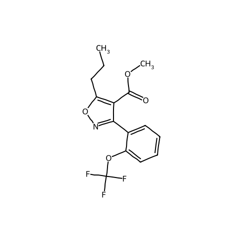 CCCc1onc(-c2ccccc2OC(F)(F)F)c1C(=O)OC